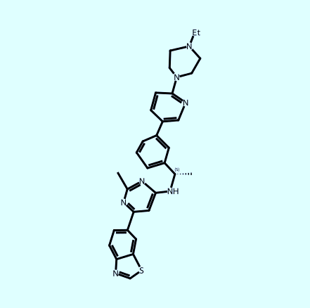 CCN1CCN(c2ccc(-c3cccc([C@H](C)Nc4cc(-c5ccc6ncsc6c5)nc(C)n4)c3)cn2)CC1